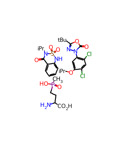 CC(C)N1C(=O)c2ccccc2NS1(=O)=O.CC(C)Oc1cc(-n2nc(C(C)(C)C)oc2=O)c(Cl)cc1Cl.CP(=O)(O)CCC(N)C(=O)O